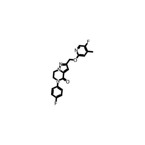 Cc1cc(OCc2cc3n(n2)CCN(c2ccc(F)cc2)C3=O)ncc1F